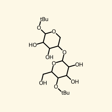 CC(C)(C)OC1OCC(OC2OC(CO)C(OC(C)(C)C)C(O)C2O)C(O)C1O